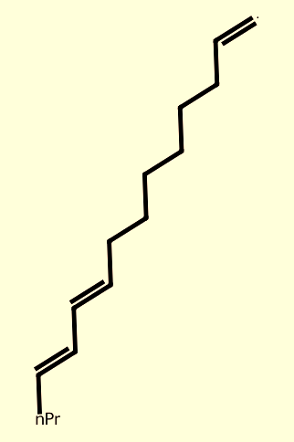 [CH]=CCCCCCCC=CC=CCCC